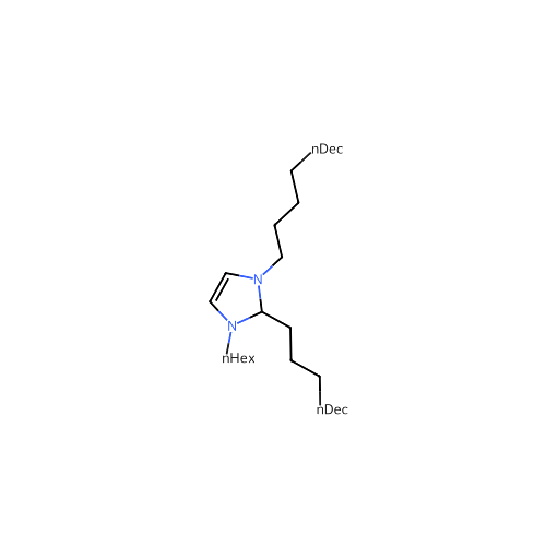 CCCCCCCCCCCCCCN1C=CN(CCCCCC)C1CCCCCCCCCCCCC